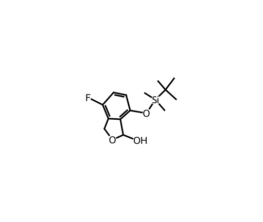 CC(C)(C)[Si](C)(C)Oc1ccc(F)c2c1C(O)OC2